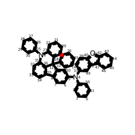 c1ccc(N(c2ccc3c(c2)C2(c4ccccc4)c4ccccc4N(c4ccccc4)c4cccc-3c42)c2ccc3oc4ccccc4c3c2)cc1